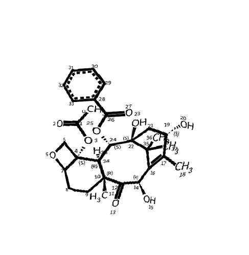 CC(=O)O[C@@]12COC1CC[C@@]1(C)C(=O)[C@H](O)C3=C(C)[C@@H](O)C[C@@](O)([C@@H](OC(=O)c4ccccc4)[C@@H]12)C3(C)C